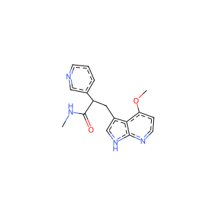 CNC(=O)C(Cc1c[nH]c2nccc(OC)c12)c1cccnc1